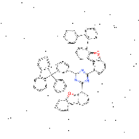 c1ccc(-c2ccccc2-c2cccc3c2oc2cccc(-c4nc(-c5cccc(C6(c7ccccc7)c7ccccc7-c7ccccc76)c5)nc(-c5cccc6c5oc5ccccc56)n4)c23)cc1